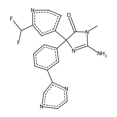 CN1C(=O)C(c2cccc(-c3cnccn3)c2)(c2ccnc(C(F)F)c2)N=C1N